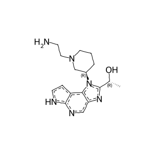 C[C@@H](O)c1nc2cnc3[nH]ccc3c2n1[C@@H]1CCCN(CCN)C1